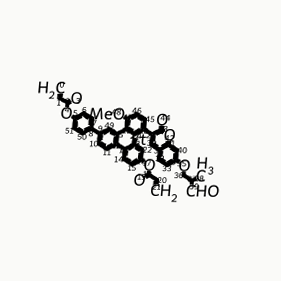 C=CC(=O)Oc1ccc(-c2ccc(-c3ccc(OC(=O)C=C)cc3CC)c(-c3cc(-c4cc5ccc(OCC(C)C=O)cc5oc4=O)ccc3OC)c2)cc1